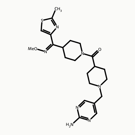 CON=C(c1csc(C)n1)C1CCN(C(=O)C2CCN(Cc3cnc(N)nc3)CC2)CC1